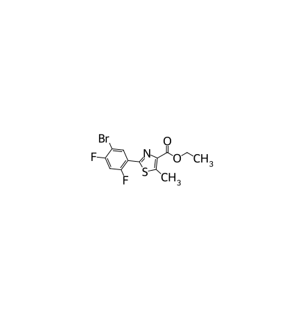 CCOC(=O)c1nc(-c2cc(Br)c(F)cc2F)sc1C